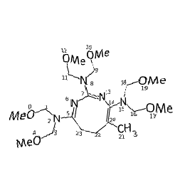 COCN(COC)/C1=N/C(N(COC)COC)=N\C(N(COC)COC)=C(\C)CC1